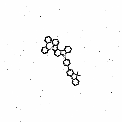 CC1(C)c2ccccc2-c2ccc(-c3ccc(-n4c5ccccc5c5c6c7ccccc7n(-c7ccccc7-c7ccccc7)c6ccc54)cc3)cc21